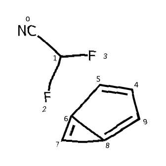 N#CC(F)F.c1cc2cc-2c1